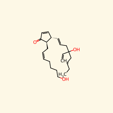 C=CC(O)(CC=C[C@H]1C=CC(=O)[C@@H]1C/C=C\CCCCO)CCCC